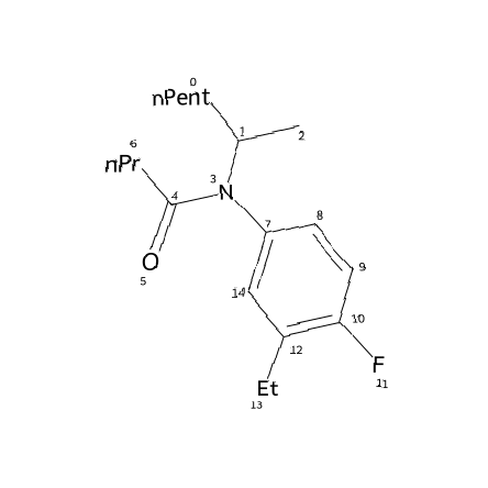 CCCCCC(C)N(C(=O)CCC)c1ccc(F)c(CC)c1